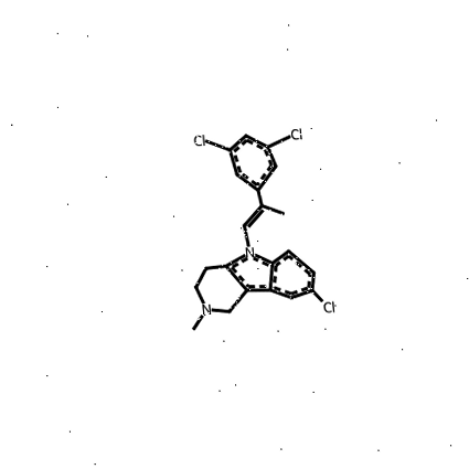 CC(=Cn1c2c(c3cc(Cl)ccc31)CN(C)CC2)c1cc(Cl)cc(Cl)c1